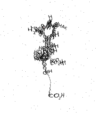 CC(=O)N[C@H]1CCCCNC(=O)C[C@@H](C(=O)N2CCC[C@H]2C(=O)N[C@@H](CO)C(=O)N[C@@H](CO)C(=O)N[C@@H](CO)C(=O)N[C@@H](CCCCN(CC(=O)O)CC(=O)O)C(=O)N[C@@H](CO)C(=O)N[C@@H](CO)C(=O)NCCOCCOCCNC(=O)CCCCCCCCCCCCCCCCC(=O)O)NC(=O)[C@H](Cc2c[nH]c3ccccc23)NC(=O)[C@H](CCCNC(=N)N)NC(=O)[C@@H](Cc2ccccc2)NC(=O)[C@H](Cc2c[nH]cn2)NC1=O